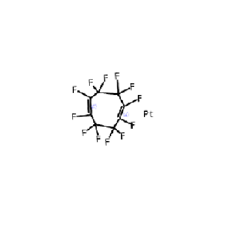 F/C1=C(\F)C(F)(F)C(F)(F)/C(F)=C(/F)C(F)(F)C1(F)F.[Pt]